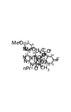 CCCN(c1nnc(-c2cccc(OC)n2)n1-c1c(OC)cccc1OC)S(=O)(=O)[C@H](C)[C@H](O)c1ccc(F)cc1S(C)(=O)=O